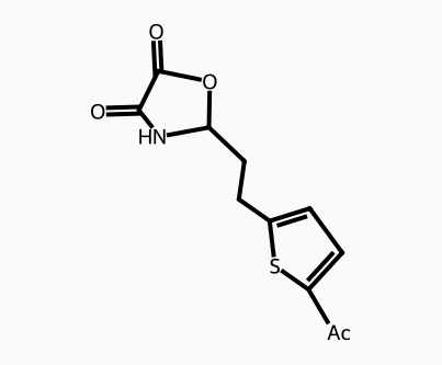 CC(=O)c1ccc(CCC2NC(=O)C(=O)O2)s1